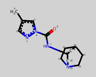 Cc1cnn(C(=O)NC2CC3CCN(CC3)C2)c1